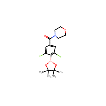 CC1(C)OB(c2c(F)cc(C(=O)N3CCOCC3)cc2F)OC1(C)C